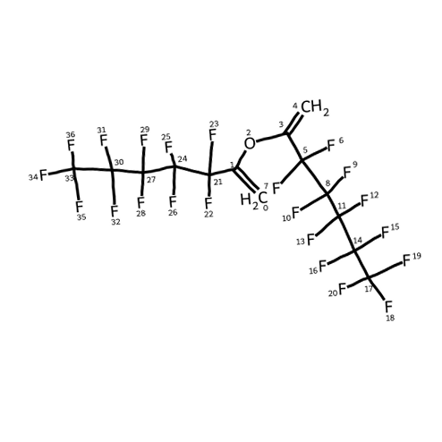 C=C(OC(=C)C(F)(F)C(F)(F)C(F)(F)C(F)(F)C(F)(F)F)C(F)(F)C(F)(F)C(F)(F)C(F)(F)C(F)(F)F